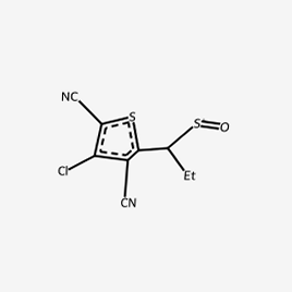 CCC([S+]=O)c1sc(C#N)c(Cl)c1C#N